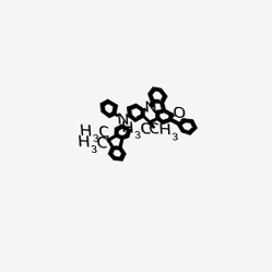 CC1(C)c2ccccc2-c2ccc(N(c3ccccc3)c3ccc4c(c3)C(C)(C)c3cc5c6ccccc6oc5c5c6ccccc6n-4c35)cc21